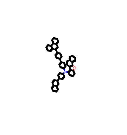 c1ccc2cc(-c3ccc(N(c4ccc(-c5ccc(-c6cc7ccccc7c7ccccc67)cc5)cc4)c4cccc5oc6c7ccccc7ccc6c45)cc3)ccc2c1